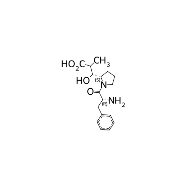 CC(C(=O)O)C(O)[C@@H]1CCCN1C(=O)[C@H](N)Cc1ccccc1